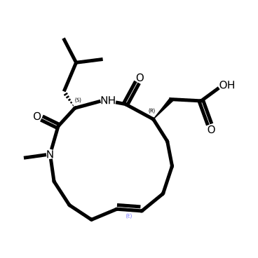 CC(C)C[C@@H]1NC(=O)[C@@H](CC(=O)O)CCC/C=C/CCCN(C)C1=O